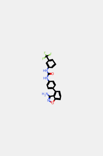 Nc1noc2cccc(-c3ccc(NC(=O)Nc4cccc(C(F)(F)F)c4)cc3)c12